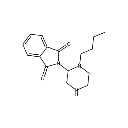 CCCCN1CCNCC1N1C(=O)c2ccccc2C1=O